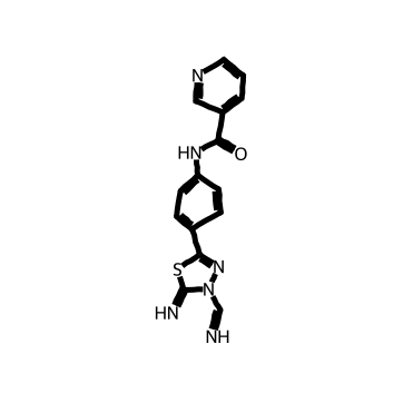 N=Cn1nc(-c2ccc(NC(=O)c3cccnc3)cc2)sc1=N